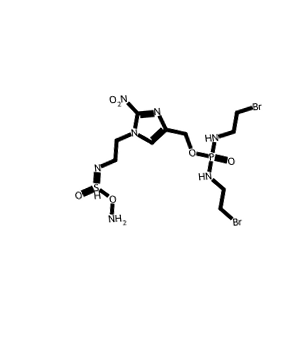 NO[SH](=O)=NCCn1cc(COP(=O)(NCCBr)NCCBr)nc1[N+](=O)[O-]